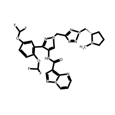 CN1CCC[C@H]1Cn1nnc(Cn2cc(NC(=O)c3cnn4cccnc34)c(-c3cc(OC(F)F)ccc3OC(F)F)n2)n1